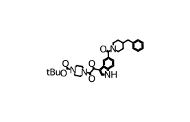 CC(C)(C)OC(=O)N1CCN(C(=O)C(=O)c2c[nH]c3ccc(C(=O)N4CCC(Cc5ccccc5)CC4)cc23)CC1